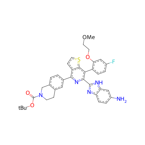 COCCOc1cc(F)ccc1-c1c(-c2nc3ccc(N)cc3[nH]2)nc(-c2ccc3c(c2)CCN(C(=O)OC(C)(C)C)C3)c2ccsc12